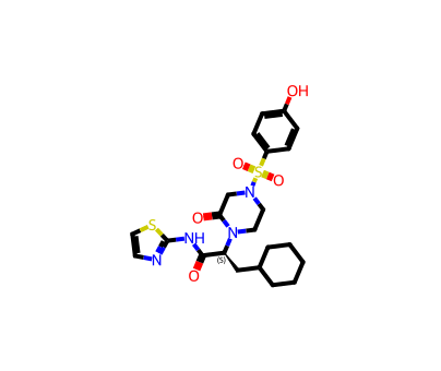 O=C(Nc1nccs1)[C@H](CC1CCCCC1)N1CCN(S(=O)(=O)c2ccc(O)cc2)CC1=O